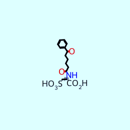 O=C(CCCCC(=O)c1ccccc1)N[C@@H](CS(=O)(=O)O)C(=O)O